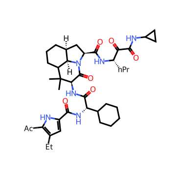 CCC[C@H](NC(=O)[C@@H]1C[C@@H]2CCCC3[C@@H]2N1C(=O)[C@@H](NC(=O)[C@@H](NC(=O)c1cc(CC)c(C(C)=O)[nH]1)C1CCCCC1)C3(C)C)C(=O)C(=O)NC1CC1